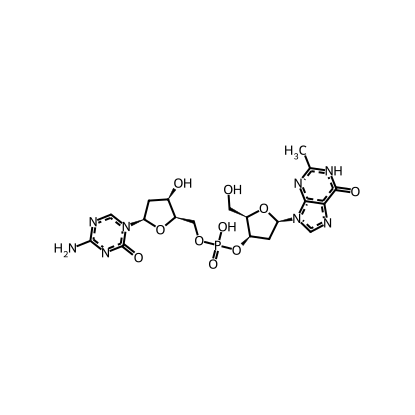 Cc1nc2c(ncn2[C@H]2C[C@@H](OP(=O)(O)OC[C@H]3O[C@@H](n4cnc(N)nc4=O)C[C@H]3O)[C@@H](CO)O2)c(=O)[nH]1